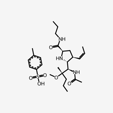 C/C=C\[C@@H]1C[C@H](C(=O)NCCC)N[C@H]1[C@@H](NC(C)=O)[C@](C)(CCC)OC.Cc1ccc(S(=O)(=O)O)cc1